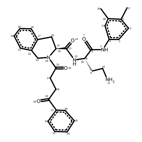 Cc1ccc(NC(=O)[C@H](CCN)NC(=O)[C@@H]2Cc3ccccc3CN2C(=O)CCC(=O)c2ccccc2)cc1C